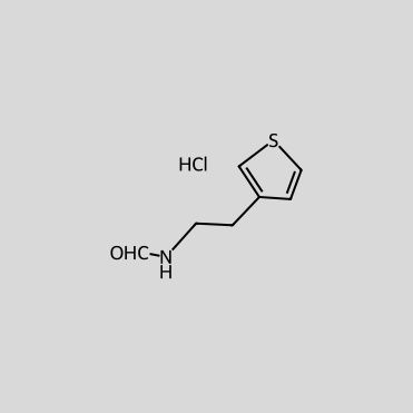 Cl.O=CNCCc1ccsc1